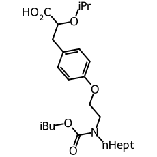 CCCCCCCN(CCOc1ccc(CC(OC(C)C)C(=O)O)cc1)C(=O)OC(C)CC